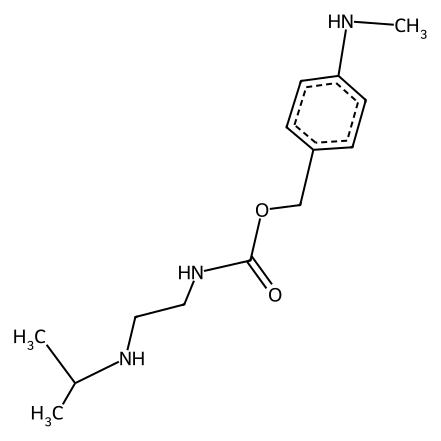 CNc1ccc(COC(=O)NCCNC(C)C)cc1